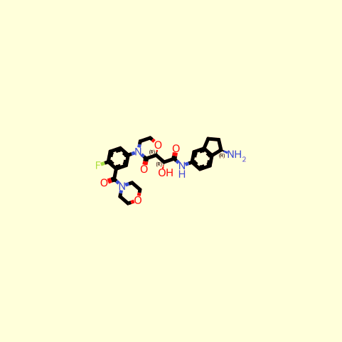 N[C@@H]1CCc2cc(NC(=O)[C@H](O)[C@H]3OCCN(c4ccc(F)c(C(=O)N5CCOCC5)c4)C3=O)ccc21